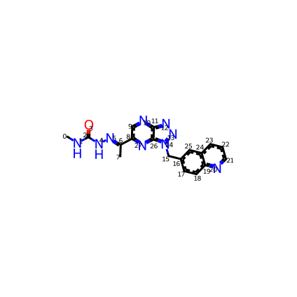 CNC(=O)N/N=C(\C)c1cnc2nnn(Cc3ccc4ncccc4c3)c2n1